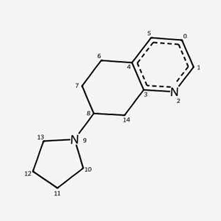 c1cnc2c(c1)CCC(N1CCCC1)C2